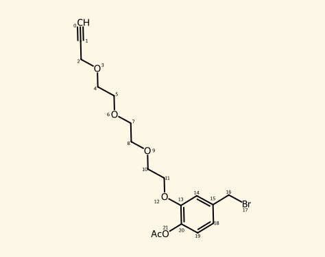 C#CCOCCOCCOCCOc1cc(CBr)ccc1OC(C)=O